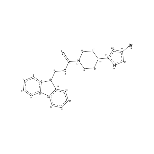 O=C(OCC1c2ccccc2-c2ccccc21)N1CCC(n2cc(Br)cn2)CC1